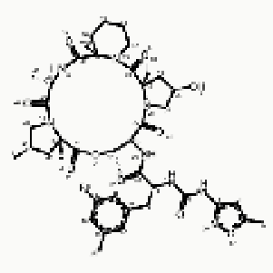 Cc1cc(NC(=O)N[C@@H](Cc2cc(F)cc(F)c2)C(=O)N[C@@H]2C(=O)N3C[C@H](O)C[C@H]3C(=O)N3CCCC[C@H]3C(=O)N[C@@H](C)C(=O)N3C[C@H](C)C[C@H]3C(=O)O[C@H]2C)no1